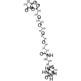 O=C(CCCOCCOCCOCCOCCC(=O)ON1C(=O)CCC1=O)NCCC[C@@H]1SC[C@@H]2NC(=O)N[C@@H]21